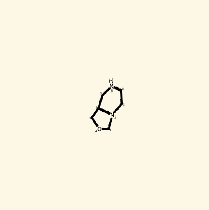 C1CN2COC[C]2CN1